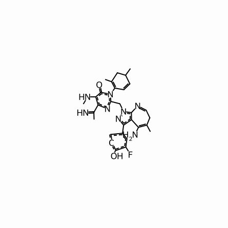 CNc1c(C(C)=N)nc(Cn2nc(-c3ccc(O)c(F)c3)c3c2N=CCC(C)=C3N)n(C2=C(C)CC(C)C=C2)c1=O